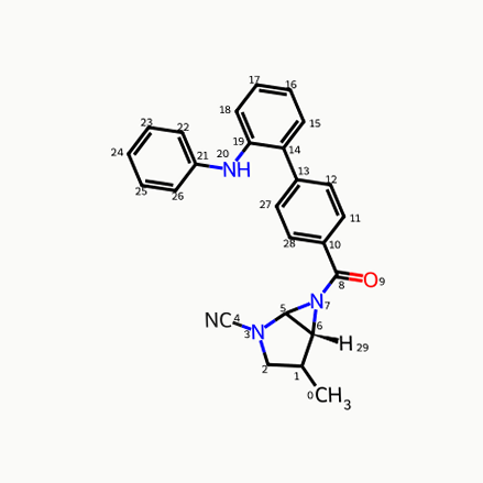 CC1CN(C#N)C2[C@@H]1N2C(=O)c1ccc(-c2ccccc2Nc2ccccc2)cc1